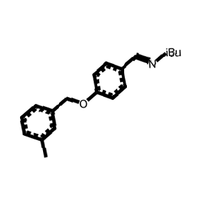 CCC(C)/N=C/c1ccc(OCc2cccc(C)c2)cc1